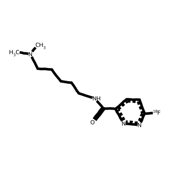 CN(C)CCCCCNC(=O)c1ccc([18F])nn1